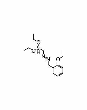 CCOc1ccccc1CN=NC[SiH](OCC)OCC